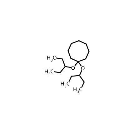 CCC(CC)OC1(OC(CC)CC)CCCCCCC1